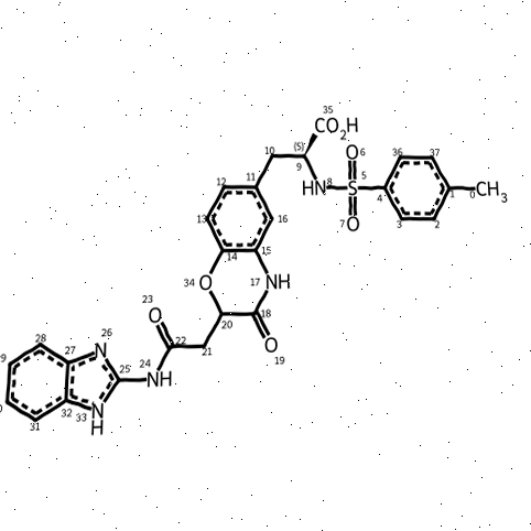 Cc1ccc(S(=O)(=O)N[C@@H](Cc2ccc3c(c2)NC(=O)C(CC(=O)Nc2nc4ccccc4[nH]2)O3)C(=O)O)cc1